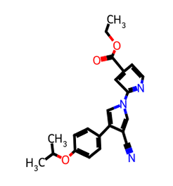 CCOC(=O)c1ccnc(-n2cc(C#N)c(-c3ccc(OC(C)C)cc3)c2)c1